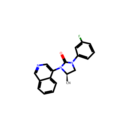 N#C[C@@H]1CN(c2cccc(F)c2)C(=O)N1c1cncc2ccccc12